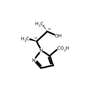 C[C@H](O)[C@H](C)n1nccc1C(=O)O